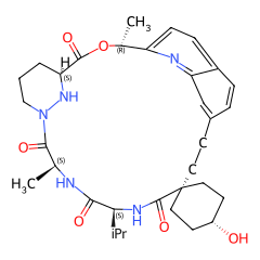 CC(C)[C@@H]1NC(=O)[C@]2(CCc3ccc4ccc(nc4c3)[C@@H](C)OC(=O)[C@@H]3CCCN(N3)C(=O)[C@H](C)NC1=O)CC[C@@H](O)CC2